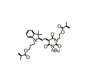 C=C(C)C(=O)OCCCN1/C(=C/C=C2\C(=O)N(CCCC)C(=O)N(CCOC(=O)C(=C)C)C2=O)C(C)(C)c2ccccc21